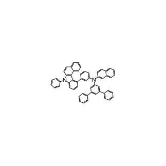 c1ccc(-c2cc(-c3ccccc3)cc(N(c3cccc(-c4cccc5c4c4c6ccccc6ccc4n5-c4ccccc4)c3)c3ccc4ccccc4c3)c2)cc1